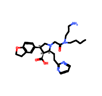 CCCCN(CCCN)C(=O)CN1C[C@H](c2ccc3c(c2)CCO3)[C@@H](C(=O)O)[C@@H]1CCc1ncccn1